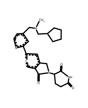 CN(Cc1ccnc(-c2ccc3c(c2)CN(C2CCC(=O)NC2=O)C3=O)c1)CC1CCCC1